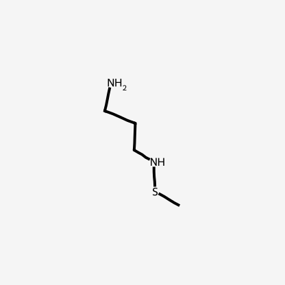 CSNCCCN